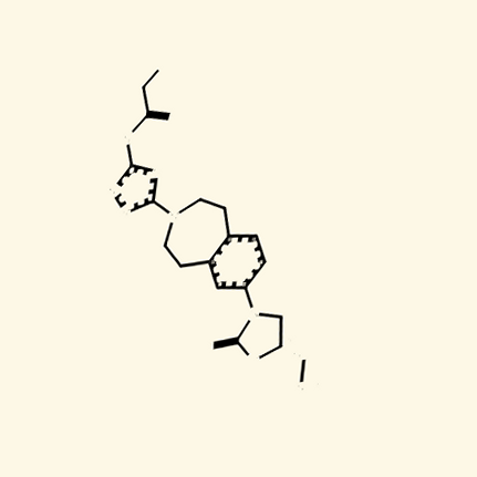 CC(=O)NC[C@H]1CN(c2ccc3c(c2)CCN(c2nnc(NC(=O)CO)s2)CC3)C(=O)O1